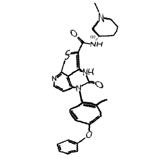 Cc1cc(Oc2ccccc2)ccc1N1C(=O)Nc2c(C(=O)N[C@H]3CCCN(C)C3)sc3nccc1c23